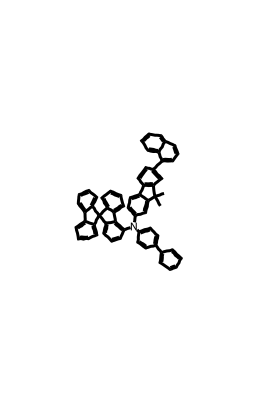 CC1(C)c2cc(-c3cccc4ccccc34)ccc2-c2ccc(N(c3ccc(-c4ccccc4)cc3)c3cccc4c3-c3ccccc3C43c4ccccc4-c4ccccc43)cc21